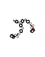 CC1(OC(=O)COc2ccc(Oc3ccc4c(c3)-c3cc(Oc5ccc(OCC(=O)OC6(C)C7CC8CC(C7)CC6C8)cc5)ccc3[SH]4c3ccc(I)cc3)cc2)C2CC3CC(C2)CC1C3